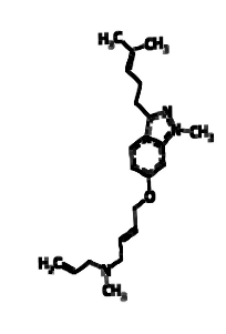 C=CCN(C)C/C=C/COc1ccc2c(CCC=C(C)C)nn(C)c2c1